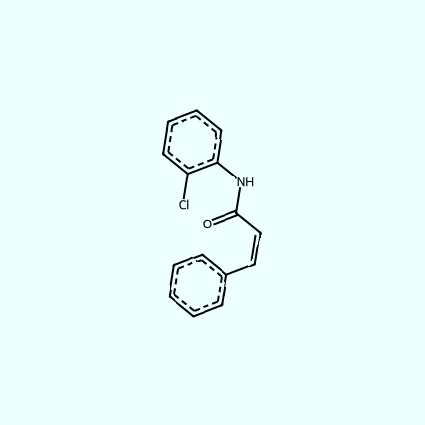 O=C(/C=C\c1ccccc1)Nc1ccccc1Cl